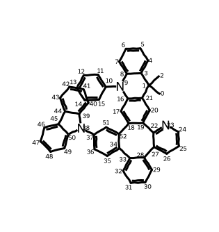 CC1(C)c2ccccc2N(c2ccccc2)c2cc3c(cc21)-c1ncccc1-c1ccccc1-c1ccc(-n2c4ccccc4c4ccccc42)cc1-3